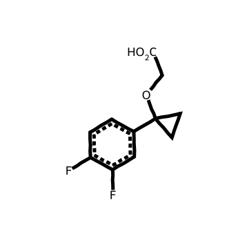 O=C(O)COC1(c2ccc(F)c(F)c2)CC1